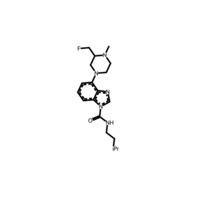 CC(C)CCNC(=O)n1cnc2c(N3CCN(C)C(CF)C3)cccc21